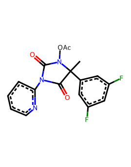 CC(=O)ON1C(=O)N(c2ccccn2)C(=O)C1(C)c1cc(F)cc(F)c1